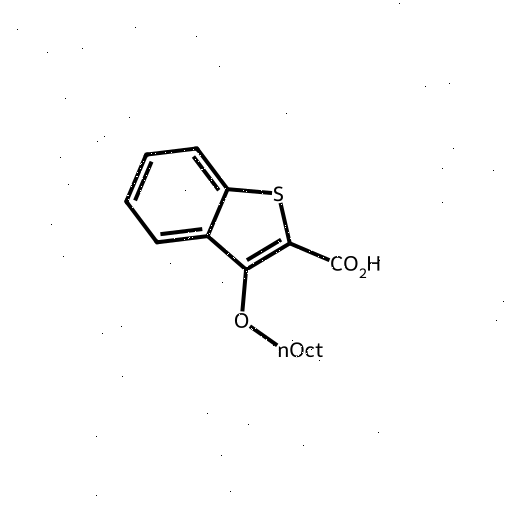 CCCCCCCCOc1c(C(=O)O)sc2ccccc12